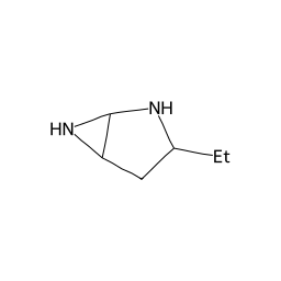 CCC1CC2NC2N1